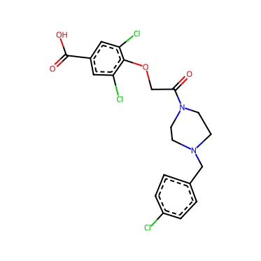 O=C(O)c1cc(Cl)c(OCC(=O)N2CCN(Cc3ccc(Cl)cc3)CC2)c(Cl)c1